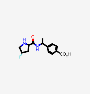 CC(NC(=O)C1C[C@H](F)CN1)c1ccc(C(=O)O)cc1